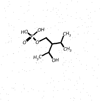 CC(C)C(COP(=O)(O)O)C(C)O